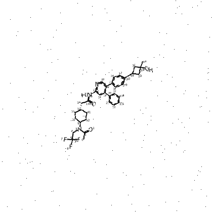 CC(=O)N(CC(F)(F)F)[C@H]1CC[C@H](CC(=O)Nc2cc(-c3ccccc3)c(-c3ccc([C]4CC(C)(O)C4)cc3)cn2)CC1